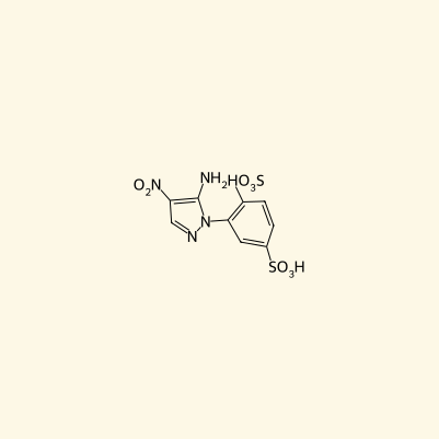 Nc1c([N+](=O)[O-])cnn1-c1cc(S(=O)(=O)O)ccc1S(=O)(=O)O